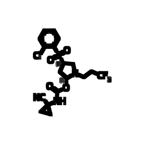 N#CC1(NC(=O)O[C@H]2C[C@@H](S(=O)(=O)c3ccccc3Cl)CN2CCC(F)(F)F)CC1